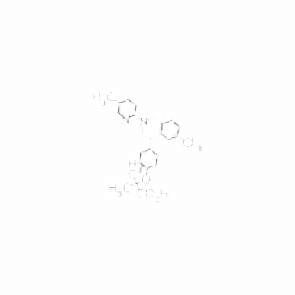 Cc1ccc(N(CCc2ccc(OC(C)(C)C(=O)O)cc2)Cc2ccc(C(F)(F)F)cc2)nc1